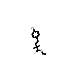 CCOC(=O)C(C)(C)C=Cc1ccc(Cl)cc1